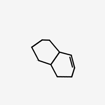 [CH]1CCCC2C=CCCC12